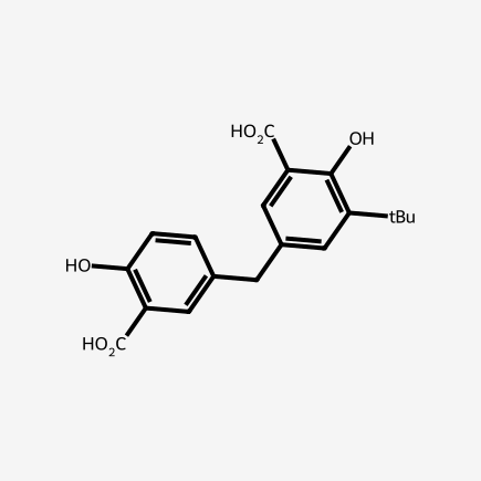 CC(C)(C)c1cc(Cc2ccc(O)c(C(=O)O)c2)cc(C(=O)O)c1O